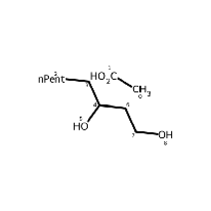 CC(=O)O.CCCCCCC(O)CCO